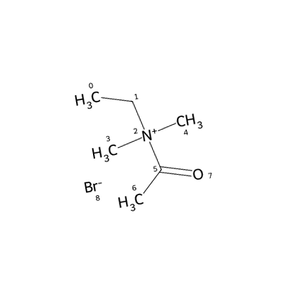 CC[N+](C)(C)C(C)=O.[Br-]